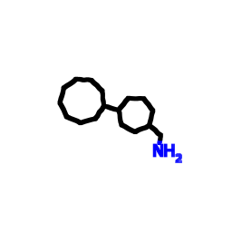 NCC1CCCC(C2CCCCCCCC2)CC1